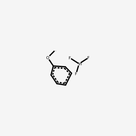 [CH2]Oc1ccccc1.[F][In]([F])[F]